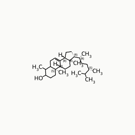 CC1C(O)CC[C@@]2(C)C1CC=C1[C@@H]3CC[C@H]([C@H](C)CC[C@H](C)C(C)C)[C@@]3(C)CC[C@@H]12